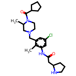 Cc1c(CN2CCN(C(=O)C3CCCC3)C(C)C2)cc(Cl)cc1NC(=O)CC1CCCN1